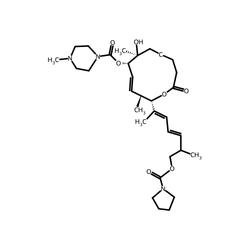 C/C(=C\C=C\C(C)COC(=O)N1CCCC1)[C@H]1OC(=O)CCCC[C@](C)(O)[C@@H](OC(=O)N2CCN(C)CC2)/C=C/[C@@H]1C